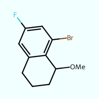 COC1CCCc2cc(F)cc(Br)c21